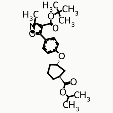 Cc1noc(-c2ccc(O[C@H]3CCC[C@H](C(=O)OC(C)C)C3)cc2)c1C(=O)OC(C)(C)C